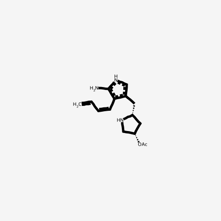 C=C/C=C\c1c(C[C@@H]2C[C@H](OC(C)=O)CN2)c[nH]c1N